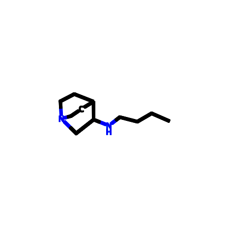 CCCCNC1CN2CCC1CC2